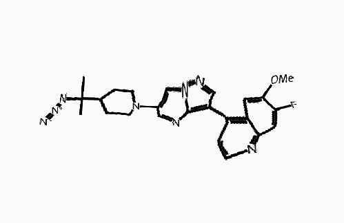 COc1cc2c(-c3cnn4cc(N5CCC(C(C)(C)N=[N+]=[N-])CC5)cnc34)ccnc2cc1F